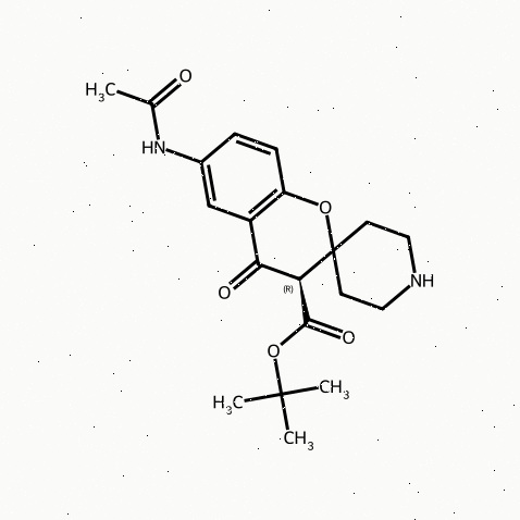 CC(=O)Nc1ccc2c(c1)C(=O)[C@H](C(=O)OC(C)(C)C)C1(CCNCC1)O2